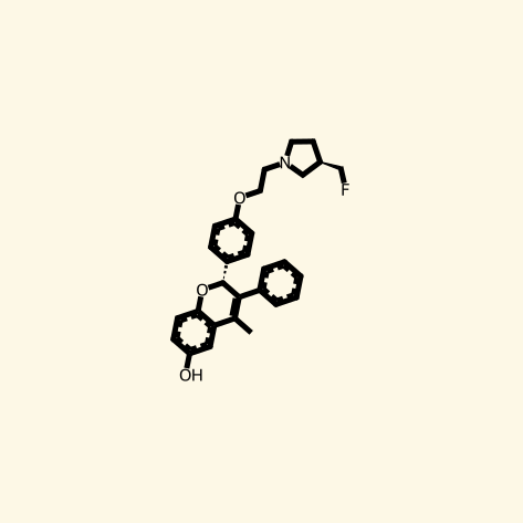 CC1=C(c2ccccc2)[C@@H](c2ccc(OCCN3CC[C@@H](CF)C3)cc2)Oc2ccc(O)cc21